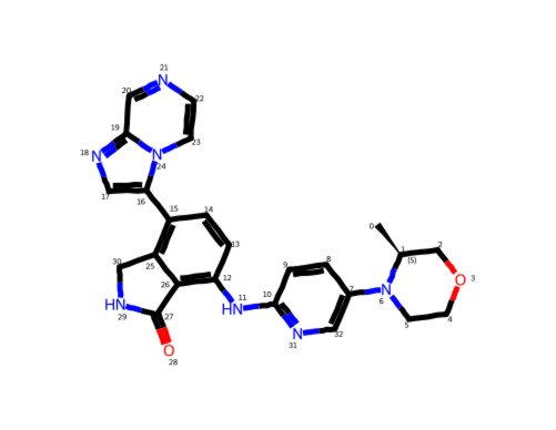 C[C@H]1COCCN1c1ccc(Nc2ccc(-c3cnc4cnccn34)c3c2C(=O)NC3)nc1